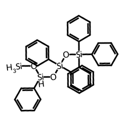 [SiH3]O[SiH](O[Si](O[Si](c1ccccc1)(c1ccccc1)c1ccccc1)(c1ccccc1)c1ccccc1)c1ccccc1